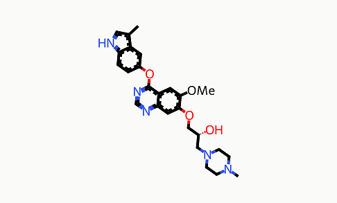 COc1cc2c(Oc3ccc4[nH]cc(C)c4c3)ncnc2cc1OC[C@H](O)CN1CCN(C)CC1